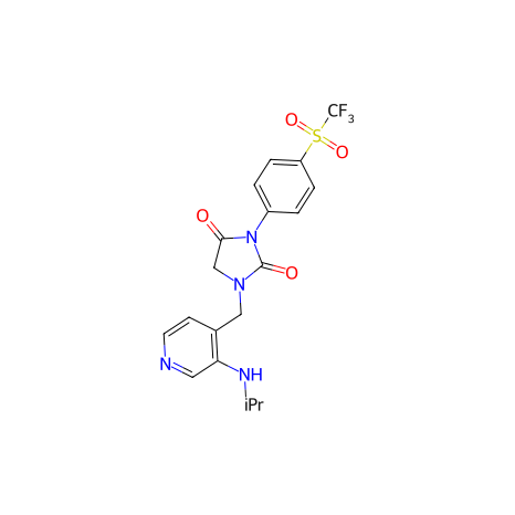 CC(C)Nc1cnccc1CN1CC(=O)N(c2ccc(S(=O)(=O)C(F)(F)F)cc2)C1=O